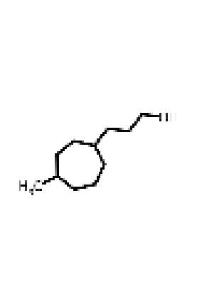 CC1CCCC(CCCO)CC1